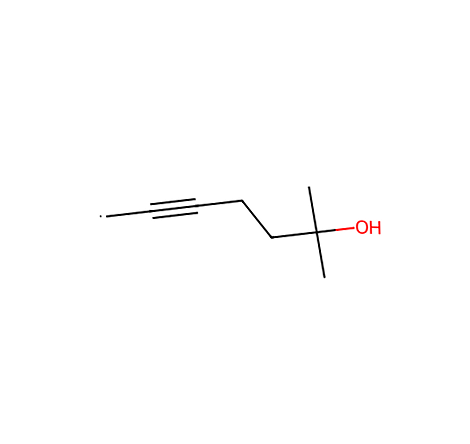 [CH2]C#CCCC(C)(C)O